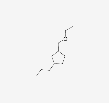 CCCC1CCC(COCC)C1